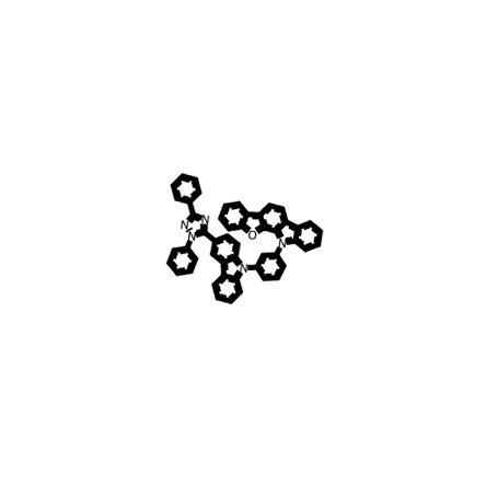 c1ccc(-c2nc(-c3ccc4c(c3)c3ccccc3n4-c3cccc(-n4c5ccccc5c5ccc6c7ccccc7oc6c54)c3)n(-c3ccccc3)n2)cc1